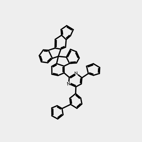 c1ccc(-c2cccc(-c3cc(-c4ccccc4)nc(-c4cccc5c4-c4ccccc4C54c5ccccc5-c5cc6ccccc6cc54)n3)c2)cc1